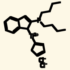 CCCCP(CCCC)C1=Cc2ccccc2[CH]1[Ti+2][C]1=CC=CC1.[Cl-].[Cl-]